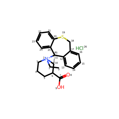 CC[N+]12CCCC(C(=O)O)C1[C@]21c2ccccc2CSc2ccccc21.Cl